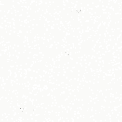 COc1ccc2c(c1)CCC=C2CCCN1CCc2cc(OC)c(OC)cc2C1